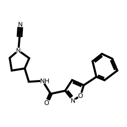 N#CN1CCC(CNC(=O)c2cc(-c3ccccc3)on2)C1